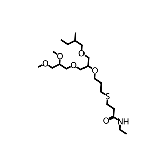 CCNC(=O)CCSCCCOC(COCC(C)CC)COCC(COC)OC